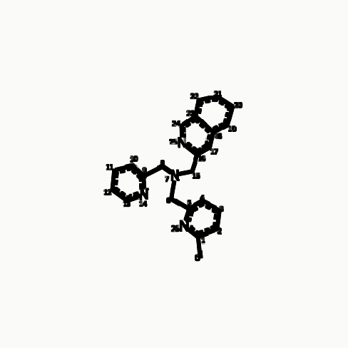 Cc1cccc(CN(Cc2ccccn2)Cc2cc3ccccc3cn2)n1